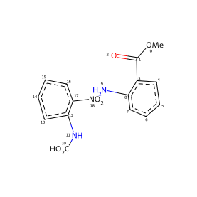 COC(=O)c1ccccc1N.O=C(O)Nc1ccccc1[N+](=O)[O-]